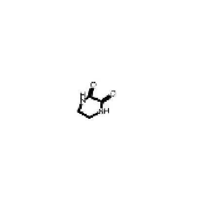 O=C1NCCNC1=O